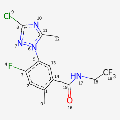 Cc1cc(F)c(-n2nc(Cl)nc2C)cc1C(=O)NCC(F)(F)F